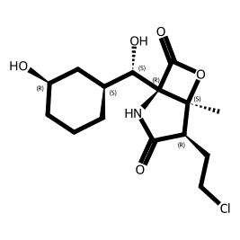 C[C@@]12OC(=O)[C@]1([C@@H](O)[C@H]1CCC[C@@H](O)C1)NC(=O)[C@@H]2CCCl